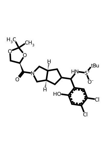 CC1(C)OC[C@H](C(=O)N2C[C@H]3CC(C(N[S+]([O-])C(C)(C)C)c4cc(Cl)c(Cl)cc4O)C[C@H]3C2)O1